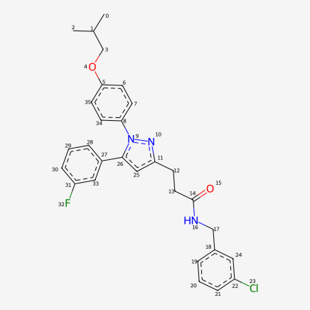 CC(C)COc1ccc(-n2nc(CCC(=O)NCc3cccc(Cl)c3)cc2-c2cccc(F)c2)cc1